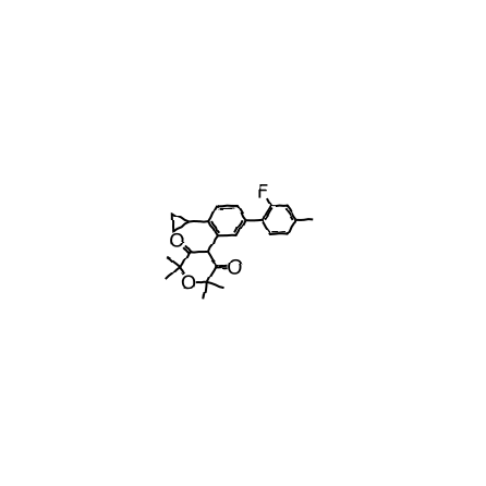 Cc1ccc(-c2ccc(C3CC3)c(C3C(=O)C(C)(C)OC(C)(C)C3=O)c2)c(F)c1